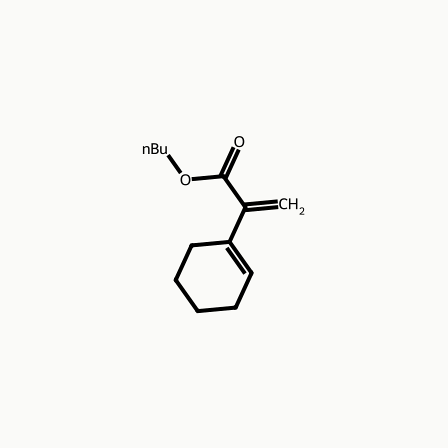 C=C(C(=O)OCCCC)C1=CCCCC1